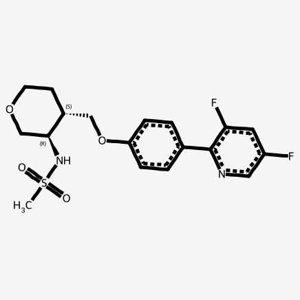 CS(=O)(=O)N[C@H]1COCC[C@@H]1COc1ccc(-c2ncc(F)cc2F)cc1